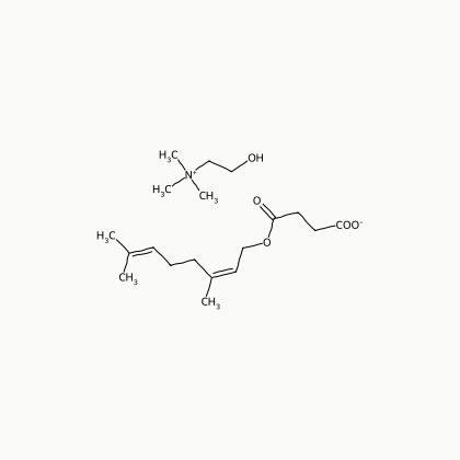 CC(C)=CCCC(C)=CCOC(=O)CCC(=O)[O-].C[N+](C)(C)CCO